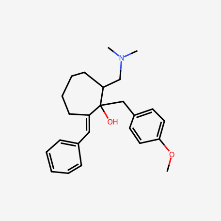 COc1ccc(CC2(O)C(=Cc3ccccc3)CCCCC2CN(C)C)cc1